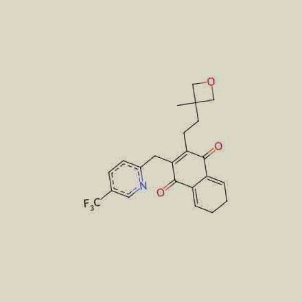 CC1(CCC2=C(Cc3ccc(C(F)(F)F)cn3)C(=O)C3=CCCC=C3C2=O)COC1